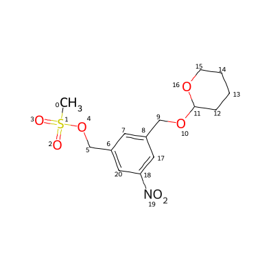 CS(=O)(=O)OCc1cc(COC2CCCCO2)cc([N+](=O)[O-])c1